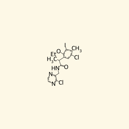 CCOc1c(C(C)C(=O)NCc2nccnc2Cl)cc(Cl)c(C)c1I